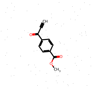 C#CC(=O)c1ccc(C(=O)OC)cc1